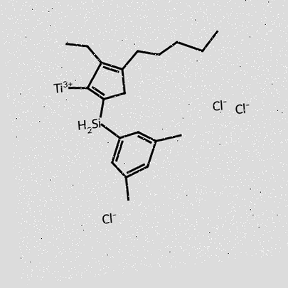 CCCCCC1=C(CC)[C]([Ti+3])=C([SiH2]c2cc(C)cc(C)c2)C1.[Cl-].[Cl-].[Cl-]